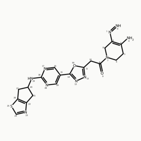 N=NC1=C(N)CCN(C(=O)Cc2nnc(-c3cnc(NC4Cc5ncsc5C4)nc3)o2)C1